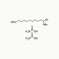 CCCCCCCCCCCCCCCCCCCC(CC)CCCC.NC(O)=S.NC(O)=S